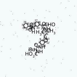 CC[C@H](C)[C@H](NC(=O)O)C(=O)Nc1ccc2c(ccn2CCC(C)(C)NC[C@H](OC=O)c2cccc(NS(=O)(=O)c3ccccc3)c2)c1